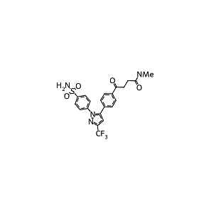 CNC(=O)CCC(=O)c1ccc(-c2cc(C(F)(F)F)nn2-c2ccc(S(N)(=O)=O)cc2)cc1